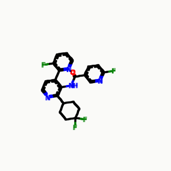 O=C(Nc1c(-c2ncccc2F)ccnc1C1CCC(F)(F)CC1)c1ccc(F)nc1